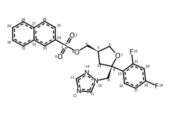 O=S(=O)(OC[C@H]1CO[C@](Cn2cncn2)(c2ccc(F)cc2F)C1)c1ccc2ccccc2c1